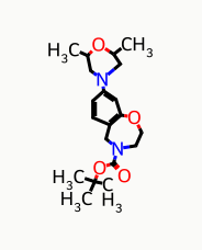 CC1CN(c2ccc3c(c2)OCCN(C(=O)OC(C)(C)C)C3)CC(C)O1